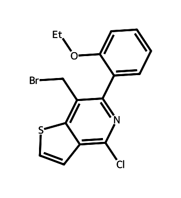 CCOc1ccccc1-c1nc(Cl)c2ccsc2c1CBr